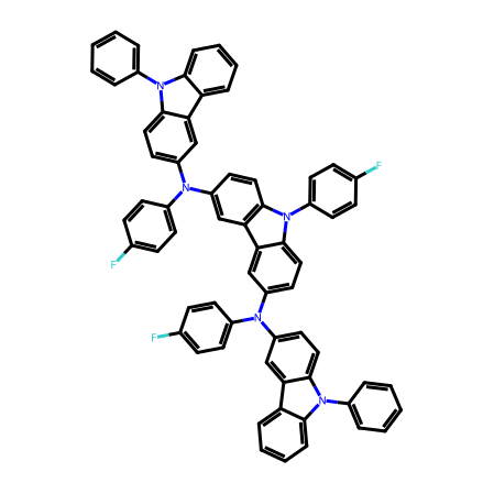 Fc1ccc(N(c2ccc3c(c2)c2ccccc2n3-c2ccccc2)c2ccc3c(c2)c2cc(N(c4ccc(F)cc4)c4ccc5c(c4)c4ccccc4n5-c4ccccc4)ccc2n3-c2ccc(F)cc2)cc1